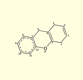 C1=CCC2=C(C1)Cc1ccccc1O2